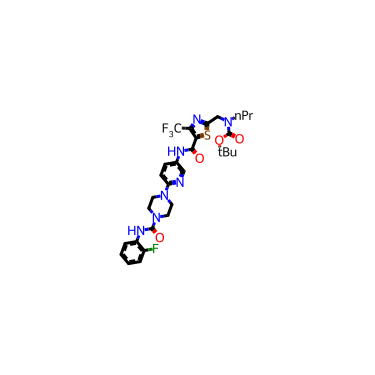 CCCN(Cc1nc(C(F)(F)F)c(C(=O)Nc2ccc(N3CCN(C(=O)Nc4ccccc4F)CC3)nc2)s1)C(=O)OC(C)(C)C